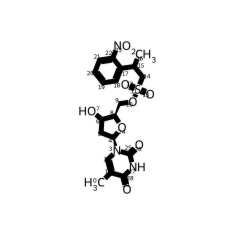 Cc1cn([C@H]2CC(O)[C@@H](COS(=O)(=O)CC(C)c3ccccc3[N+](=O)[O-])O2)c(=O)[nH]c1=O